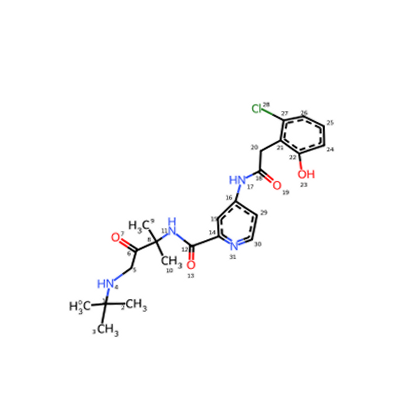 CC(C)(C)NCC(=O)C(C)(C)NC(=O)c1cc(NC(=O)Cc2c(O)cccc2Cl)ccn1